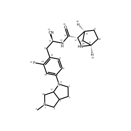 CN1CC2CCN(c3ccc(C[C@@H](C#N)NC(=O)[C@H]4N[C@@H]5CC[C@H]4C5)c(F)c3)C2C1